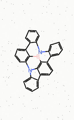 c1ccc2c(c1)-c1cccc3c1B1c4c(ccc5c6ccccc6n-3c45)-c3ccccc3N12